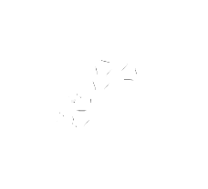 C[C@H](NC(=O)c1ccc2c(-c3ccc(C(F)(F)F)cc3)cccc2c1)c1cccnc1N